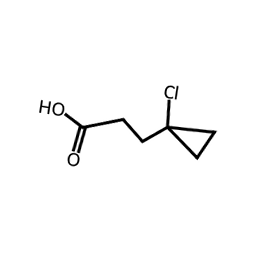 O=C(O)CCC1(Cl)CC1